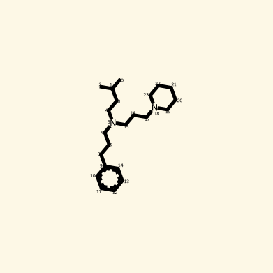 CC(C)CCN(CCCc1ccccc1)CCCN1CCCCC1